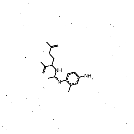 C=C(C)CCC(N/C(C)=N\c1ccc(N)cc1C)C(=C)C